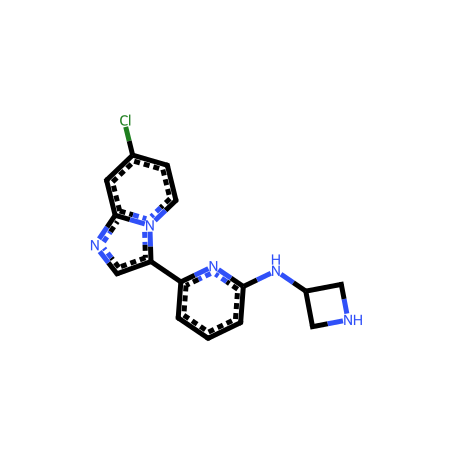 Clc1ccn2c(-c3cccc(NC4CNC4)n3)cnc2c1